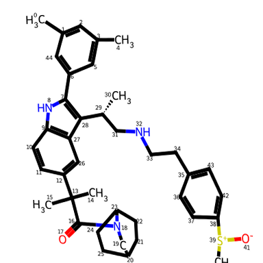 Cc1cc(C)cc(-c2[nH]c3ccc(C(C)(C)C(=O)N4CC5CCC4CC5)cc3c2[C@H](C)CNCCc2ccc([S+](C)[O-])cc2)c1